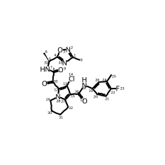 Cc1noc([C@H](C)NC(=O)C(=O)c2c(Cl)c(C(=O)Nc3ccc(F)c(C)c3)c3n2CCCC3)n1